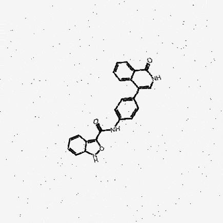 O=C(Nc1ccc(-c2c[nH]c(=O)c3ccccc23)cc1)C1=C2C=CC=CC2NO1